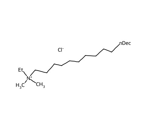 CCCCCCCCCCCCCCCCCCCC[N+](C)(C)CC.[Cl-]